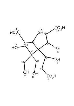 O=C(O)CC(S)C(C(S)CC(=O)O)(C(S)CC(=O)O)C(CO)(CO)CO